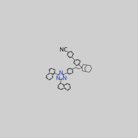 N#Cc1ccc(-c2ccc(C3(CCc4ccc(-c5nc(-c6cccc7ccccc67)nc(-c6cccc7ccccc67)n5)cc4)CC4CCCC(C4)C3)cc2)cc1